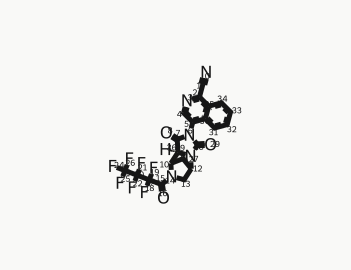 N#Cc1ncc(N2C(=O)[C@@H]3C4CC(CN4C(=O)C(F)(F)C(F)(F)C(F)(F)F)N3C2=O)c2ccccc12